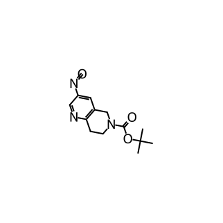 CC(C)(C)OC(=O)N1CCc2ncc(N=O)cc2C1